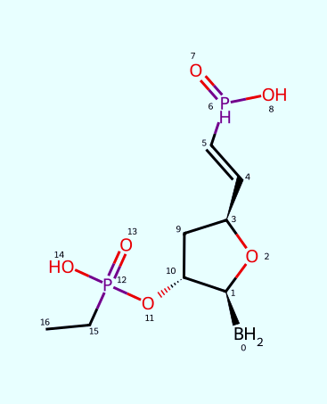 B[C@@H]1O[C@H](/C=C/[PH](=O)O)C[C@H]1OP(=O)(O)CC